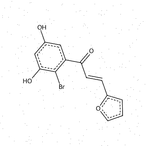 O=C(/C=C/c1ccco1)c1cc(O)cc(O)c1Br